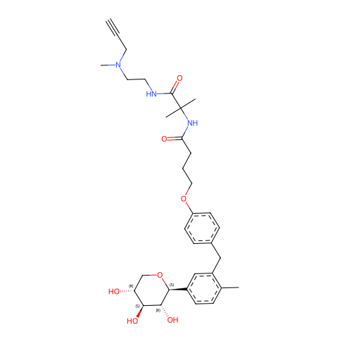 C#CCN(C)CCNC(=O)C(C)(C)NC(=O)CCCOc1ccc(Cc2cc([C@@H]3OC[C@@H](O)[C@H](O)[C@H]3O)ccc2C)cc1